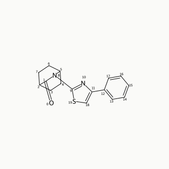 O=C1C2CCC(CC2)N1c1nc(-c2ccccc2)cs1